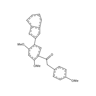 COc1ccc(CC(=O)c2cc(-c3cc4ccccc4s3)c(OC)cc2OC)cc1